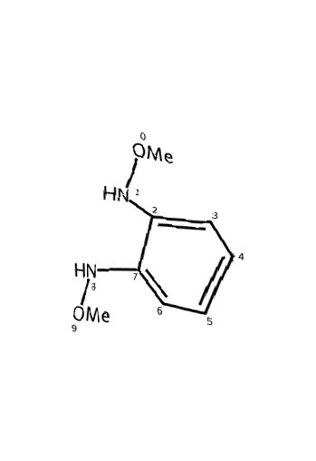 CONc1c[c]ccc1NOC